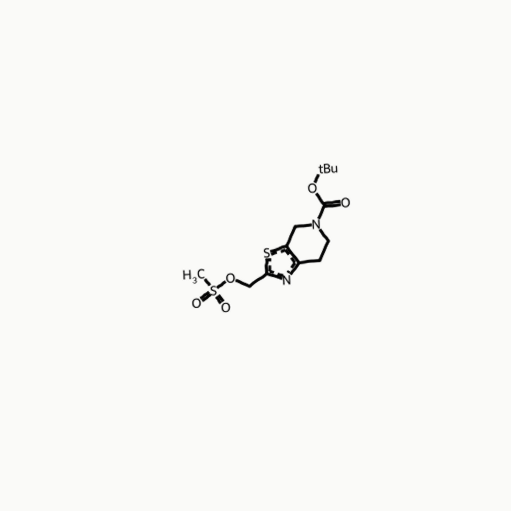 CC(C)(C)OC(=O)N1CCc2nc(COS(C)(=O)=O)sc2C1